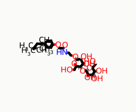 CC(C)(C)CC(C)(C)c1ccc(OCC(=O)NCCO[C@H]2OC(CO)[C@H](O[C@@H]3OC(CO)[C@H](O)[C@@H](O)C3O)[C@@H](O)C2O)cc1